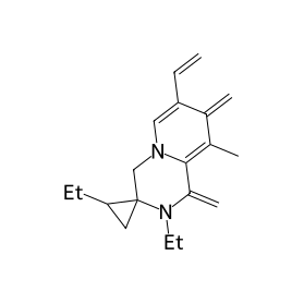 C=CC1=CN2CC3(CC3CC)N(CC)C(=C)C2=C(C)C1=C